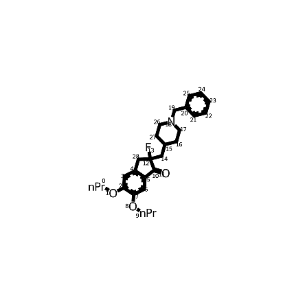 CCCOc1cc2c(cc1OCCC)C(=O)C(F)(CC1CCN(Cc3ccccc3)CC1)C2